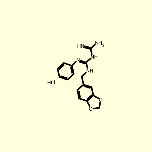 Cl.N=C(N)NC(=Nc1ccccc1)NCc1ccc2c(c1)OCO2